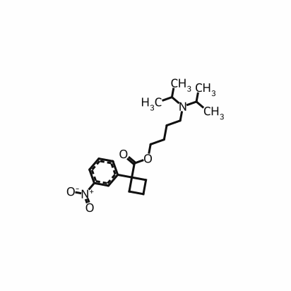 CC(C)N(CCCCOC(=O)C1(c2cccc([N+](=O)[O-])c2)CCC1)C(C)C